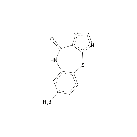 Bc1ccc2c(c1)NC(=O)c1ocnc1S2